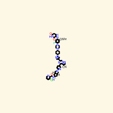 COc1cc(N2CCN([C@H]3CC[C@H](n4cc(-c5cn6ncc(C#N)c6c(-c6ccc(N7C[C@@H]8C[C@@](C)(NC(=O)c9ncccc9Cl)C[C@@H]8C7)nc6)n5)cn4)CC3)CC2)c(F)cc1NC1CCC(=O)NC1=O